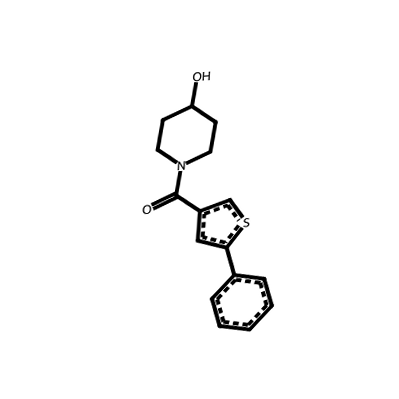 O=C(c1csc(-c2ccccc2)c1)N1CCC(O)CC1